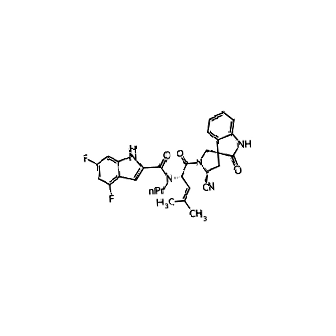 CCCN(C(=O)c1cc2c(F)cc(F)cc2[nH]1)[C@@H](C=C(C)C)C(=O)N1C[C@]2(C[C@H]1C#N)C(=O)Nc1ccccc12